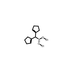 CCO[SiH](OCC)C(C1=CCCC1)C1=CCCC1